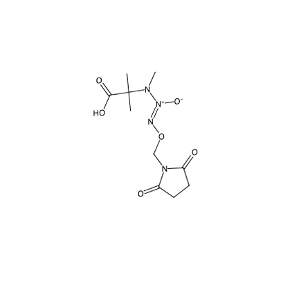 CN(/[N+]([O-])=N/OCN1C(=O)CCC1=O)C(C)(C)C(=O)O